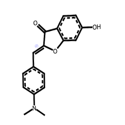 CN(C)c1ccc(/C=C2\Oc3cc(O)ccc3C2=O)cc1